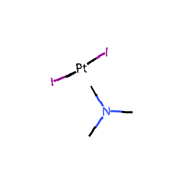 CN(C)C.[I][Pt][I]